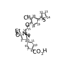 CCOc1cc(-c2ccc(C(=O)O)cc2)nn1CCOc1ccc(-c2cccs2)cc1Cl